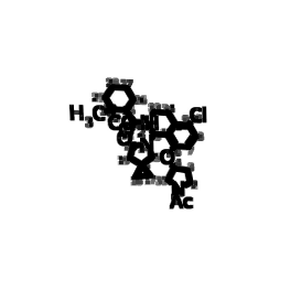 CC(=O)N1CCC(Oc2ccc(Cl)c3c2C(N2CC4(CC4)CC2=O)N(C(=O)C2CCCC[C@]2(C)C(=O)O)CC3)C1